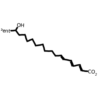 CCCCCC(O)CCCCCCCCCC=CC=CC=CC(=O)O